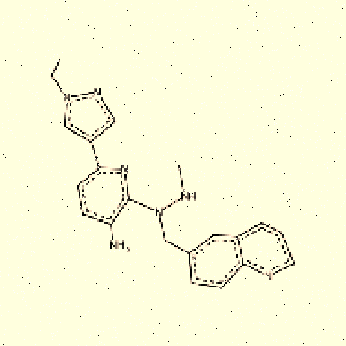 CCn1cc(-c2ccc(N)c(N(Cc3ccc4ncccc4c3)NC)n2)cn1